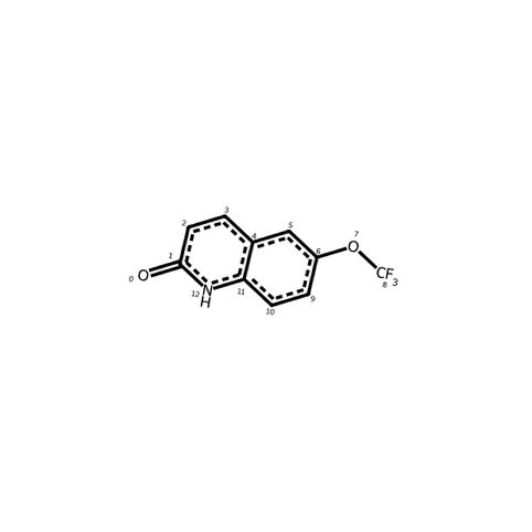 O=c1ccc2cc(OC(F)(F)F)ccc2[nH]1